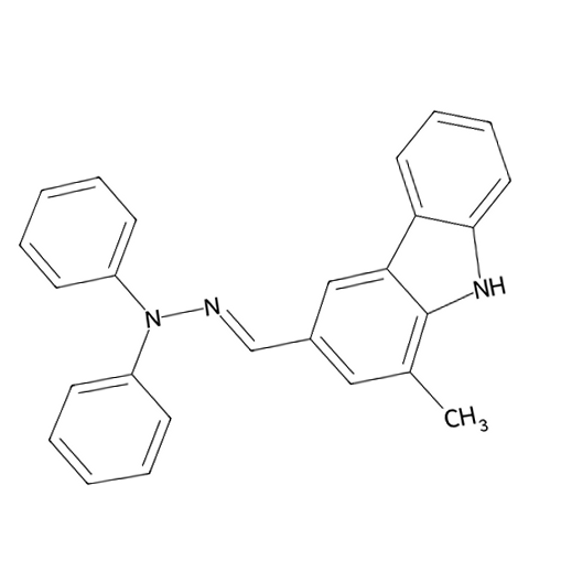 Cc1cc(C=NN(c2ccccc2)c2ccccc2)cc2c1[nH]c1ccccc12